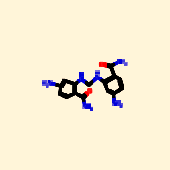 NC(=O)c1ccc(N)cc1NCNc1cc(N)ccc1C(N)=O